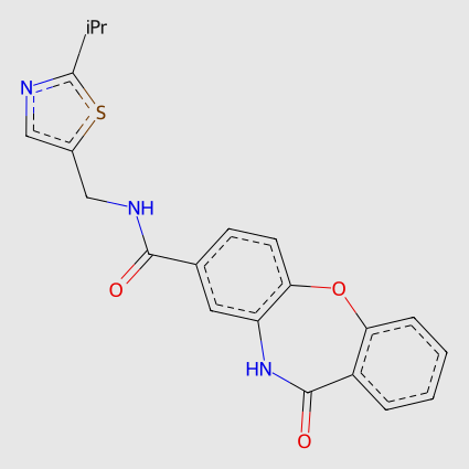 CC(C)c1ncc(CNC(=O)c2ccc3c(c2)NC(=O)c2ccccc2O3)s1